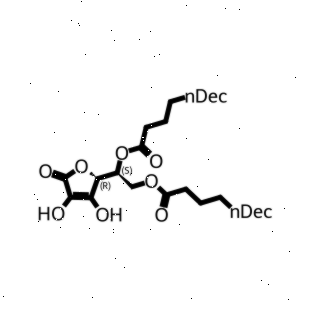 CCCCCCCCCCCCCC(=O)OC[C@H](OC(=O)CCCCCCCCCCCCC)[C@H]1OC(=O)C(O)=C1O